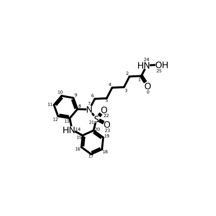 O=C(CCCCCN1c2ccccc2Nc2ccccc2S1(=O)=O)NO